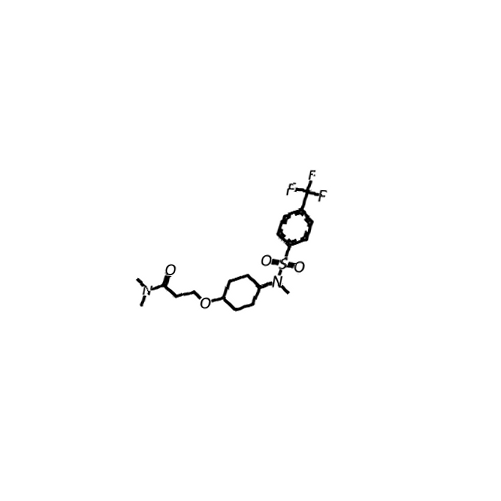 CN(C)C(=O)CCOC1CCC(N(C)S(=O)(=O)c2ccc(C(F)(F)F)cc2)CC1